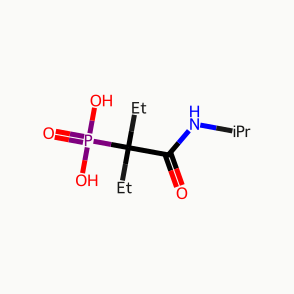 CCC(CC)(C(=O)NC(C)C)P(=O)(O)O